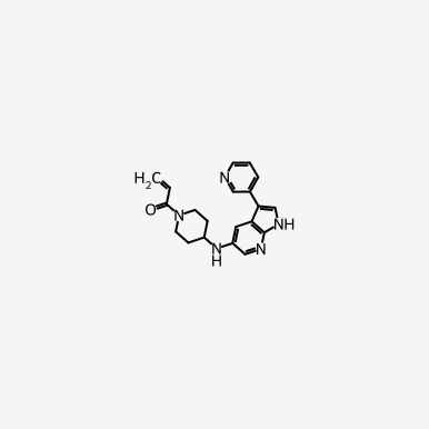 C=CC(=O)N1CCC(Nc2cnc3[nH]cc(-c4cccnc4)c3c2)CC1